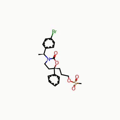 C[C@@H](c1ccc(Br)cc1)N1CC[C@@](CCCOS(C)(=O)=O)(c2ccccc2)OC1=O